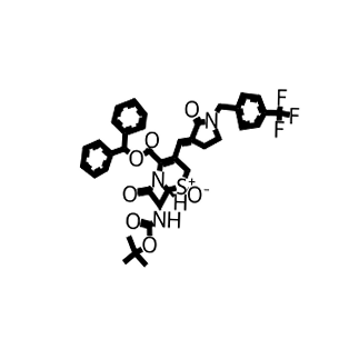 CC(C)(C)OC(=O)N[C@@H]1C(=O)N2C(C(=O)OC(c3ccccc3)c3ccccc3)=C(/C=C3\CCN(Cc4ccc(C(F)(F)F)cc4)C3=O)C[S+]([O-])[C@H]12